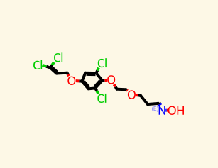 O/N=C/CCOCCOc1c(Cl)cc(OCC=C(Cl)Cl)cc1Cl